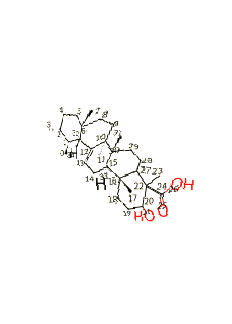 C[C@H]1[C@H](C)CC[C@]2(C)CC[C@]3(C)C(=CC[C@@H]4[C@@]5(C)CCC(O)C(C)(C(=O)O)C5CC[C@]43C)[C@H]12